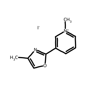 Cc1coc(-c2ccc[n+](C)c2)n1.[I-]